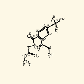 COC(=O)Cn1nc(CO)c2cc(C(F)(F)F)ccc2c1=O